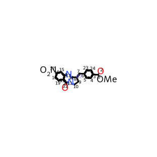 COC(=O)c1ccc(/C=C2\CCn3c2nc2cc([N+](=O)[O-])ccc2c3=O)cc1